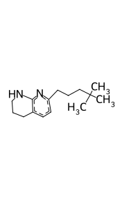 CC(C)(C)CCCc1ccc2c(n1)NCCC2